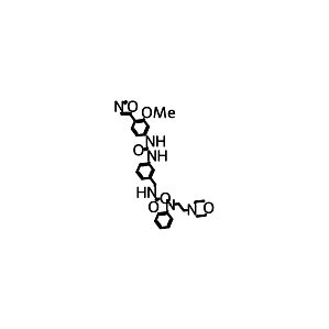 COc1cc(NC(=O)Nc2cccc(CNC(=O)ON(CCN3CCOCC3)c3ccccc3)c2)ccc1-c1cnco1